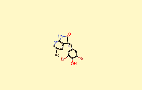 CC(=O)c1cnc2c(c1)/C(=C\c1cc(Br)c(O)c(Br)c1)C(=O)N2